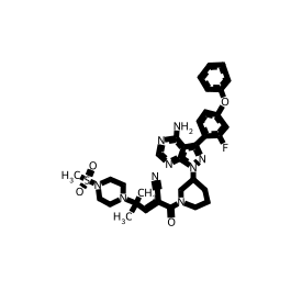 CC(C)(C=C(C#N)C(=O)N1CCCC(n2nc(-c3ccc(Oc4ccccc4)cc3F)c3c(N)ncnc32)C1)N1CCN(S(C)(=O)=O)CC1